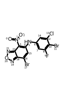 O=[N+]([O-])c1c(Nc2cc(F)c(Br)c(Cl)c2)cc(Br)c2nonc12